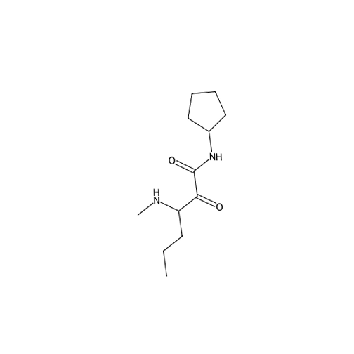 CCCC(NC)C(=O)C(=O)NC1CCCC1